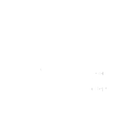 CCCCCCCC(O)c1ccc(C2=C/C(=C/c3ccccc3)CCC2)cc1